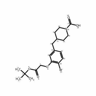 CC(C)(C)OC(=O)COc1cc(CC2CCN(C(=O)O)CC2)ccc1Br